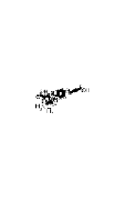 CC1(C)OC(C(=O)O)CN(S(=O)(=O)c2ccc(OCC#CCO)cc2)C1=S